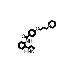 O=C(Nc1ccccc1-c1ccn[nH]1)c1ccc(OCCCN2CCCCC2)cc1